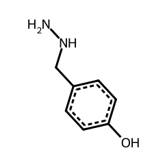 NNCc1ccc(O)cc1